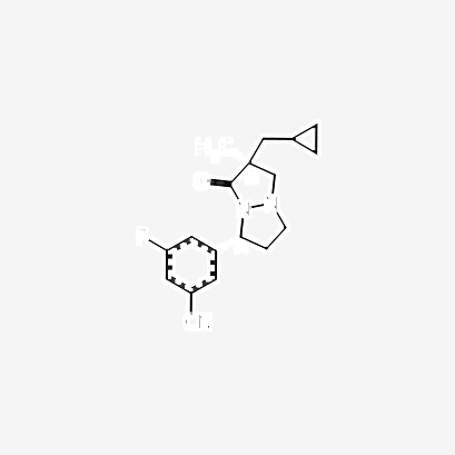 C[C@]1(CC2CC2)CN2CC[C@H](c3cc(F)cc(C#N)c3)N2C1=O